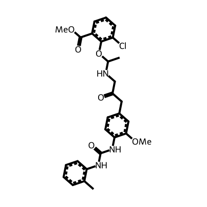 COC(=O)c1cccc(Cl)c1OC(C)NCC(=O)Cc1ccc(NC(=O)Nc2ccccc2C)c(OC)c1